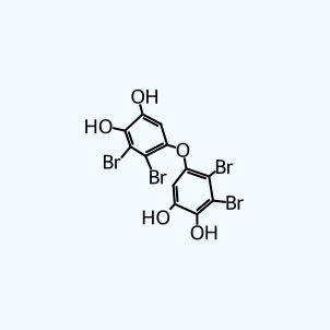 Oc1cc(Oc2cc(O)c(O)c(Br)c2Br)c(Br)c(Br)c1O